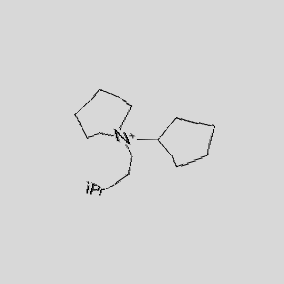 CC(C)C[N+]1(C2CCCC2)CCCC1